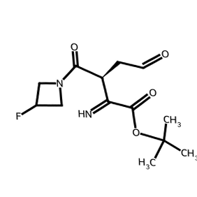 CC(C)(C)OC(=O)C(=N)[C@H](CC=O)C(=O)N1CC(F)C1